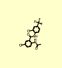 CC(=O)Nc1ccc(Cl)cc1C(=O)Nc1ccc(C(F)(F)F)cc1Cl